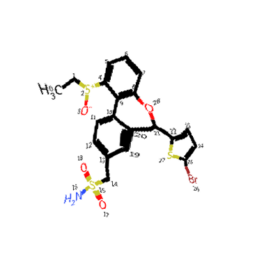 CC[S+]([O-])c1cccc2c1-c1ccc(CS(N)(=O)=O)cc1C(c1ccc(Br)s1)O2